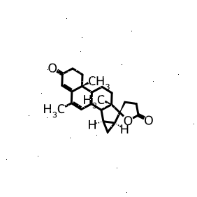 CC1=CC2C(CC[C@@]3(C)C2[C@@H]2C[C@@H]2[C@]32CCC(=O)O2)[C@@]2(C)CCC(=O)C=C12